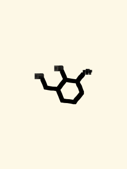 CCCC1CCCC(CO)C1O